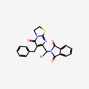 CCC(c1nc2n(c(=O)c1Cc1ccccc1)CCS2)N1C(=O)c2ccccc2C1=O